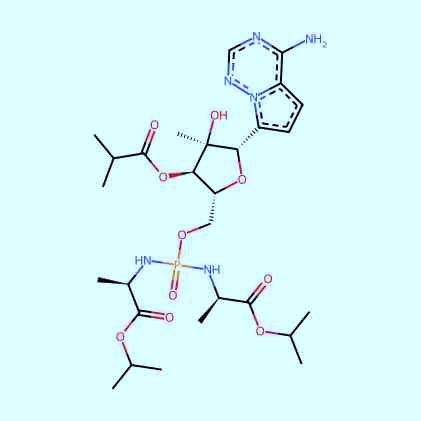 CC(C)OC(=O)[C@@H](C)NP(=O)(N[C@H](C)C(=O)OC(C)C)OC[C@H]1O[C@@H](c2ccc3c(N)ncnn23)[C@](C)(O)[C@@H]1OC(=O)C(C)C